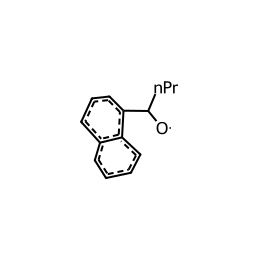 CCCC([O])c1cccc2ccccc12